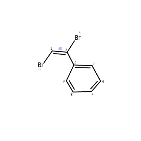 Br/C=C(/Br)c1ccccc1